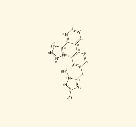 CCCn1nc(CC)nc1Cc1ccc(-c2cccnc2-c2nnn[nH]2)cc1